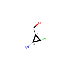 Cl.N[C@H]1C[C@H]1CO